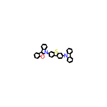 c1ccc2c(c1)oc1c2c2ccccc2n1-c1ccc2c(c1)sc1cc(-n3c4ccccc4c4ccccc43)ccc12